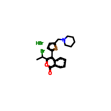 Br.CC(Br)c1oc(=O)c2ccccc2c1-c1ccc(CN2CCCCC2)s1